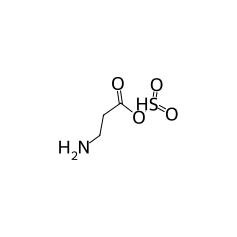 NCCC(=O)O[SH](=O)=O